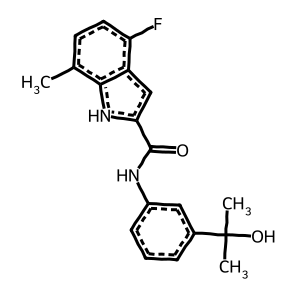 Cc1ccc(F)c2cc(C(=O)Nc3cccc(C(C)(C)O)c3)[nH]c12